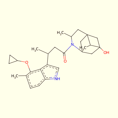 Cc1ccc2[nH]cc(C(C)CC(=O)N3C(C)CC45CC3CC(O)(C4)C5C)c2c1OC1CC1